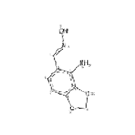 Nc1c(C=NO)ccc2c1OCO2